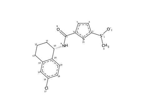 C[S+]([O-])c1ccc(C(=O)N[C@H]2CCCc3cc(Cl)ccc32)s1